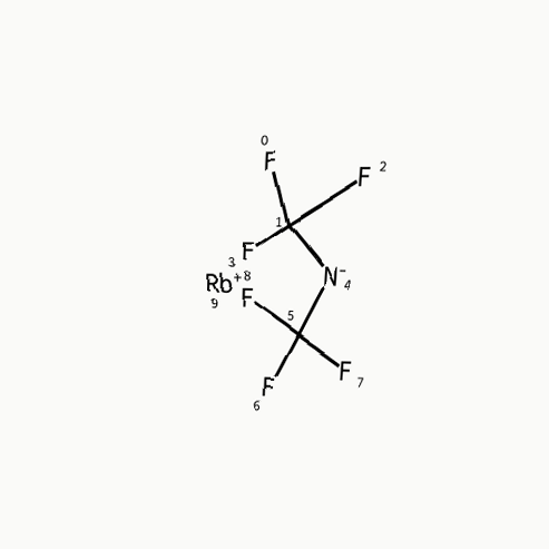 FC(F)(F)[N-]C(F)(F)F.[Rb+]